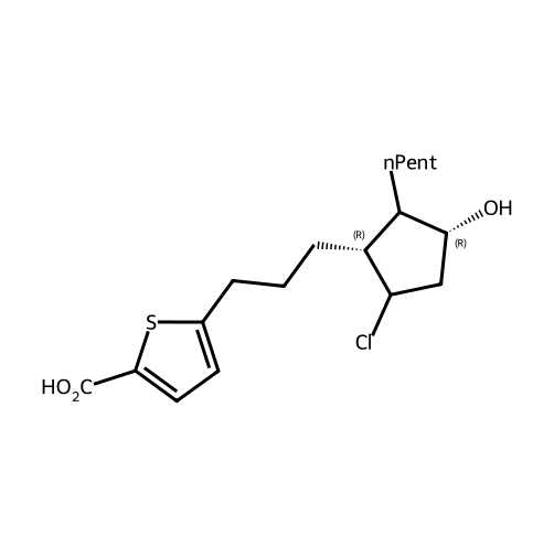 CCCCCC1[C@@H](CCCc2ccc(C(=O)O)s2)C(Cl)C[C@H]1O